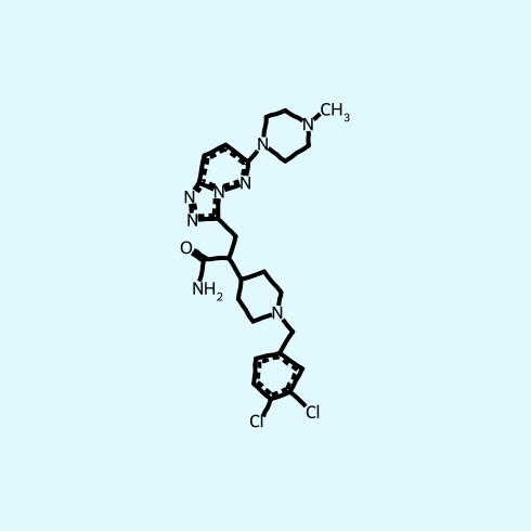 CN1CCN(c2ccc3nnc(CC(C(N)=O)C4CCN(Cc5ccc(Cl)c(Cl)c5)CC4)n3n2)CC1